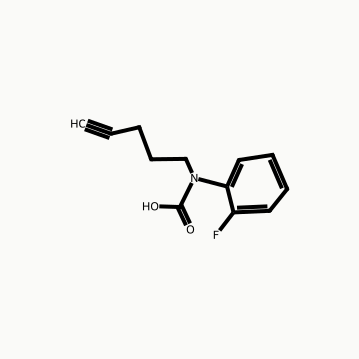 C#CCCCN(C(=O)O)c1ccccc1F